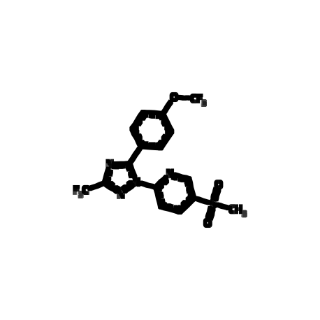 CS(=O)(=O)c1ccc(-n2nc(C(F)(F)F)nc2-c2ccc(OC(F)(F)F)cc2)nc1